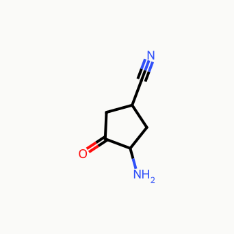 N#CC1CC(=O)C(N)C1